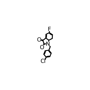 O=C1C(=O)N(Cc2ccc(Cl)cc2)C2CC=C(F)C=C12